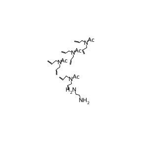 C=CCN(CC=C)C(C)=O.C=CCN(CC=C)C(C)=O.C=CCN(CC=C)C(C)=O.C=CCN(CC=C)C(C)=O.NCCN